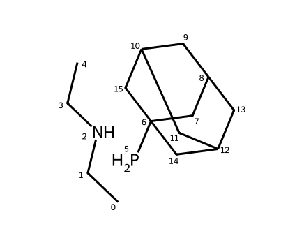 CCNCC.PC12CC3CC(CC(C3)C1)C2